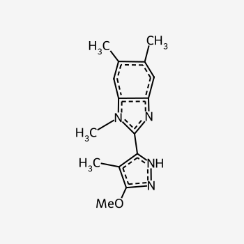 COc1n[nH]c(-c2nc3cc(C)c(C)cc3n2C)c1C